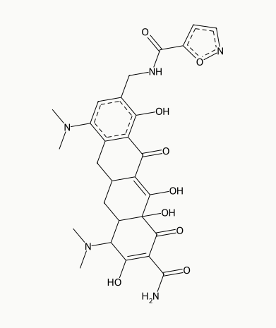 CN(C)c1cc(CNC(=O)c2ccno2)c(O)c2c1CC1CC3C(N(C)C)C(O)=C(C(N)=O)C(=O)C3(O)C(O)=C1C2=O